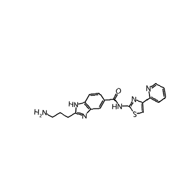 NCCCc1nc2cc(C(=O)Nc3nc(-c4ccccn4)cs3)ccc2[nH]1